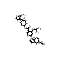 CC(C)Nc1cc(-n2ccc3cc(C#N)cnc32)ncc1C(=O)NC1CCC(O)(c2ccnn2C)CC1